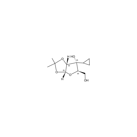 CC1(C)O[C@H]2O[C@H](CO)[C@](O)(C3CC3)[C@H]2O1